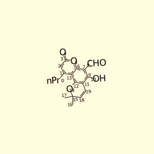 CCCc1cc(=O)oc2c(C=O)c(O)c3c(c12)OC(C)(C)C=C3